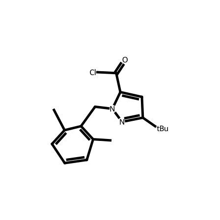 Cc1cccc(C)c1Cn1nc(C(C)(C)C)cc1C(=O)Cl